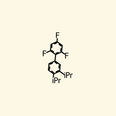 CC(C)c1ccc(-c2c(F)cc(F)cc2F)cc1C(C)C